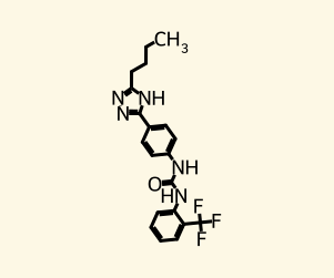 CCCCc1nnc(-c2ccc(NC(=O)Nc3ccccc3C(F)(F)F)cc2)[nH]1